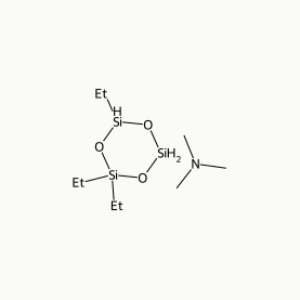 CC[SiH]1O[SiH2]O[Si](CC)(CC)O1.CN(C)C